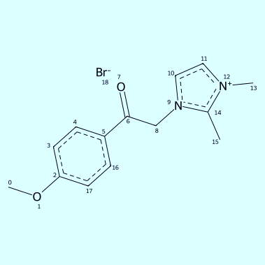 COc1ccc(C(=O)Cn2cc[n+](C)c2C)cc1.[Br-]